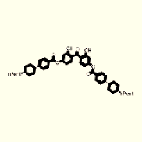 CCCCC[C@H]1CC[C@H](c2ccc(C(=O)Oc3ccc(C(=O)c4ccc(OC(=O)c5ccc([C@H]6CC[C@H](CCCCC)CC6)cc5)cc4O)c(O)c3)cc2)CC1